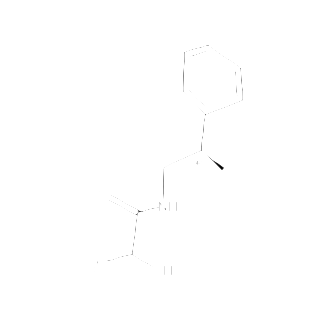 CC(C)C(=O)NC[C@H](O)c1ccccc1